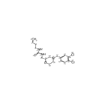 C=CCCNC(=O)NCC1CN(Cc2ccc(Cl)c(Cl)c2)CCO1